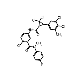 Cc1cc(C2C(C(=O)Nc3ccc(Cl)c(C(=O)N(C)c4ccc(F)cc4)c3)C2(Cl)Cl)cc(Cl)c1Cl